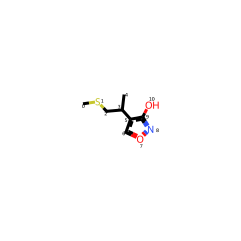 CSCC(C)c1conc1O